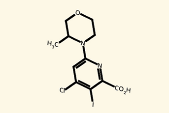 CC1COCCN1c1cc(Cl)c(I)c(C(=O)O)n1